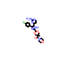 CC1(C(=O)N2CCOCC2)COC(c2nc(-c3ccc(F)cc3)c(-c3ccnc(N)n3)[nH]2)OC1